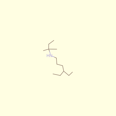 CCC(CC)CCCNC(C)(C)CC